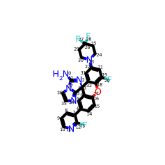 NC1=N[C@@]2(c3cc(-c4cccnc4F)ccc3Oc3c(F)cc(N4CCC(F)(F)CC4)cc32)c2nccn21